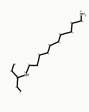 CCC(CC)NCCCCCCCCCCN